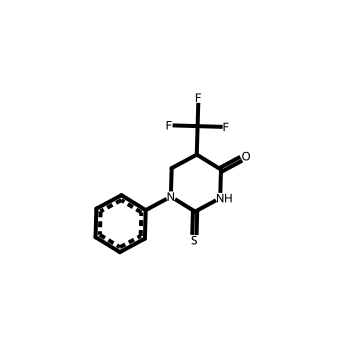 O=C1NC(=S)N(c2ccccc2)CC1C(F)(F)F